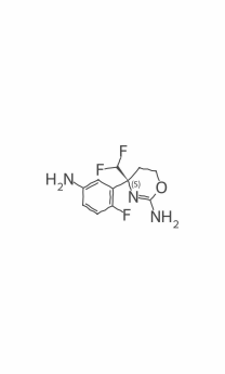 NC1=N[C@@](c2cc(N)ccc2F)(C(F)F)CCO1